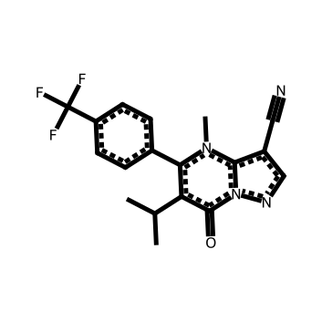 CC(C)c1c(-c2ccc(C(F)(F)F)cc2)n(C)c2c(C#N)cnn2c1=O